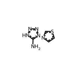 Nc1nnn[nH]1.c1cscn1